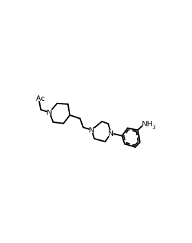 CC(=O)CN1CCC(CCN2CCN(c3cccc(N)c3)CC2)CC1